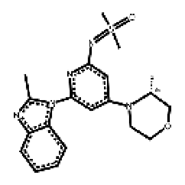 Cc1nc2ccccc2n1-c1cc(N2CCOC[C@H]2C)cc(N=S(C)(C)=O)n1